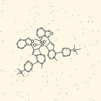 Cc1ccc2c(c1-c1ccc([Si](C)(C)C)cc1)C=C(c1occ3ccccc13)[CH]2[Zr]([Cl])([Cl])([CH]1C(c2occ3ccccc23)=Cc2c1ccc(C)c2-c1ccc([Si](C)(C)C)cc1)=[Si](C)C